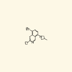 CC1CN(c2ccc(C(C)C)c3cc(Cl)ncc23)C1